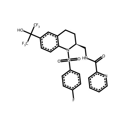 O=C(NC[C@@H]1CCc2cc(C(O)(C(F)(F)F)C(F)(F)F)ccc2N1S(=O)(=O)c1ccc(F)cc1)c1ccccn1